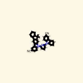 CC1(C)c2ccccc2-c2cc3c4cc(C#N)ccc4n(-c4cccc(-n5c6ccccc6c6cc(C#N)ccc65)n4)c3cc21